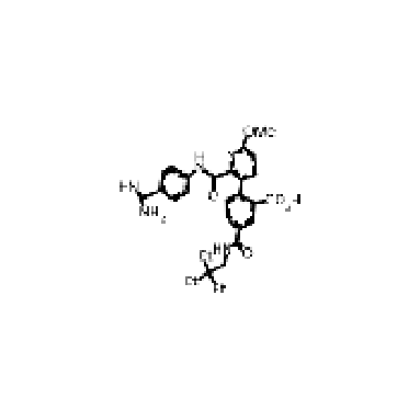 CCC(CC)(CC)CNC(=O)c1ccc(-c2ccc(OC)nc2C(=O)Nc2ccc(C(=N)N)cc2)c(C(=O)O)c1